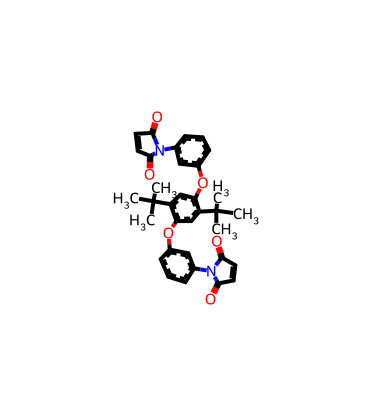 CC(C)(C)c1cc(Oc2cccc(N3C(=O)C=CC3=O)c2)c(C(C)(C)C)cc1Oc1cccc(N2C(=O)C=CC2=O)c1